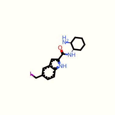 N[C@H]1CCCC[C@@H]1NC(=O)c1cc2cc(CI)ccc2[nH]1